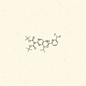 CC(C)Oc1nc(N(C(=O)OC(C)(C)C)C(=O)OC(C)(C)C)ncc1NC(=O)c1cccc(C(F)F)n1